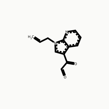 C=CCn1cc(C(=O)C=O)c2cccnc21